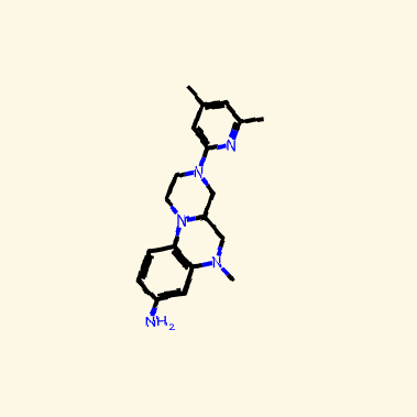 Cc1cc(C)nc(N2CCN3c4ccc(N)cc4N(C)CC3C2)c1